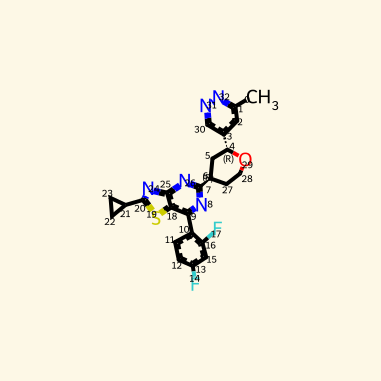 Cc1cc([C@H]2C[C@H](c3nc(-c4ccc(F)cc4F)c4sc(C5CC5)nc4n3)CCO2)cnn1